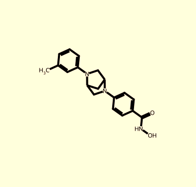 Cc1cccc(N2CC3CC2CN3c2ccc(C(=O)NO)cc2)c1